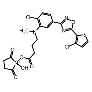 CN(CCCC(=O)O[N+]1(O)C(=O)CCC1=O)c1cc(-c2noc(-c3sccc3Cl)n2)ccc1Cl